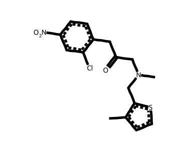 Cc1ccsc1CN(C)CC(=O)Cc1ccc([N+](=O)[O-])cc1Cl